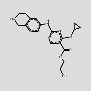 O=C(OCCO)c1cnc(Nc2ccc3c(c2)CCNC3)nc1NC1CC1